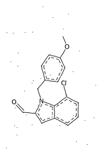 COc1ccc(Cn2c(C=O)cc3cccc(Cl)c32)cc1